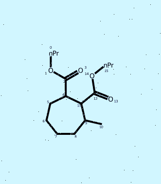 CCCOC(=O)C1CCCCC(C)C1C(=O)OCCC